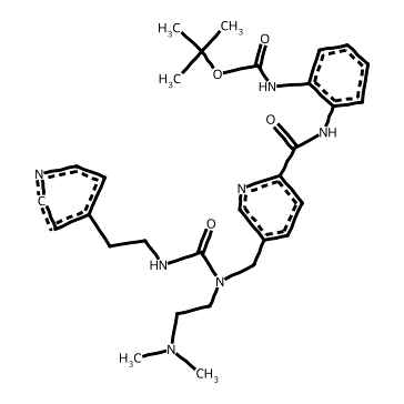 CN(C)CCN(Cc1ccc(C(=O)Nc2ccccc2NC(=O)OC(C)(C)C)nc1)C(=O)NCCc1ccncc1